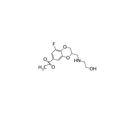 CS(=O)(=O)c1cc(F)c2c(c1)OC(CNCCO)CO2